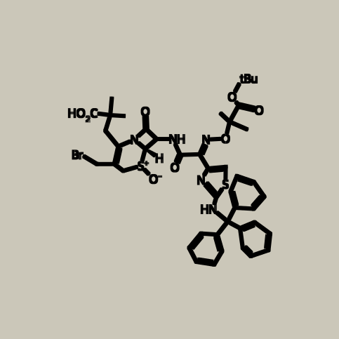 CC(C)(C)OC(=O)C(C)(C)ON=C(C(=O)NC1C(=O)N2C(CC(C)(C)C(=O)O)=C(CBr)C[S+]([O-])[C@@H]12)c1csc(NC(c2ccccc2)(c2ccccc2)c2ccccc2)n1